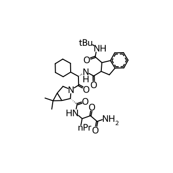 CCCC(NC(=O)[C@@H]1C2C(CN1C(=O)[C@@H](NC(=O)C1Cc3ccccc3C1C(=O)NC(C)(C)C)C1CCCCC1)C2(C)C)C(=O)C(N)=O